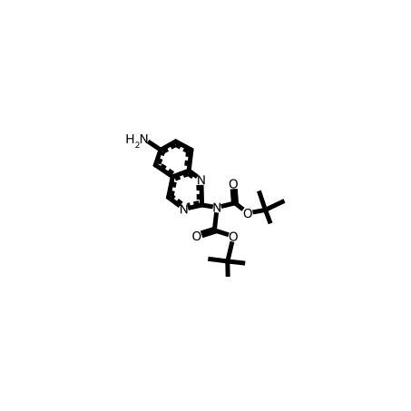 CC(C)(C)OC(=O)N(C(=O)OC(C)(C)C)c1ncc2cc(N)ccc2n1